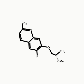 CO[C@@H](C)COc1cc2nc(C)ccc2cc1F